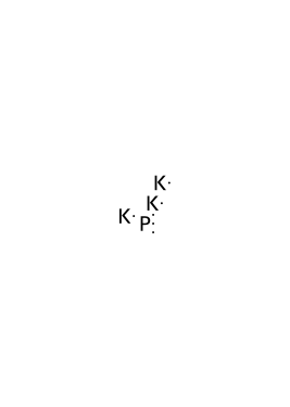 [K].[K].[K].[P]